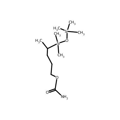 CC(CCCOC(N)=O)[Si](C)(C)O[Si](C)(C)C